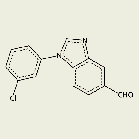 O=Cc1ccc2c(c1)ncn2-c1cccc(Cl)c1